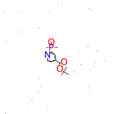 CC(C)(C)OC(=O)c1ccnc(P(C)(C)=O)c1